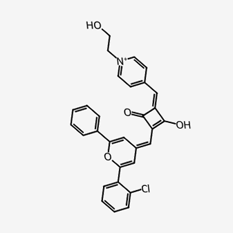 O=C1C(=Cc2cc[n+](CCO)cc2)C(O)=C1C=C1C=C(c2ccccc2)OC(c2ccccc2Cl)=C1